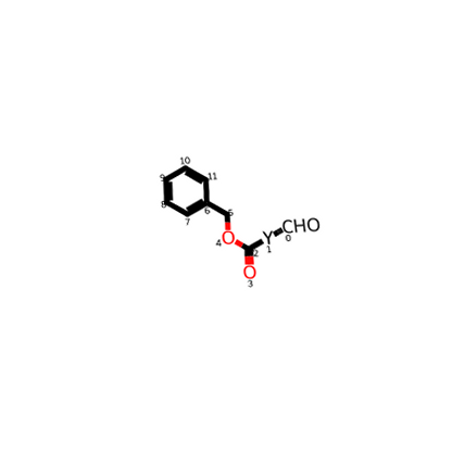 O=[CH][Y][C](=O)OCc1ccccc1